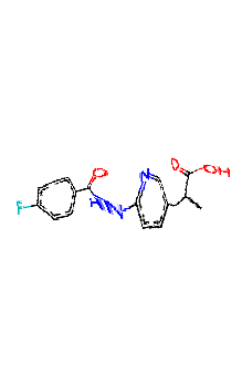 CC(C(=O)O)c1ccc(NC(=O)c2ccc(F)cc2)nc1